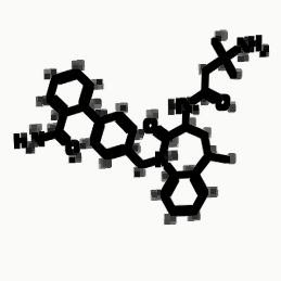 CC1CC(NC(=O)CC(C)(C)N)C(=O)N(Cc2ccc(-c3ccccc3C(N)=O)cc2)c2ccccc21